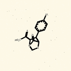 CCc1ccc(C2C3SCN(C3=O)C2C(=S)C(=O)O)cc1